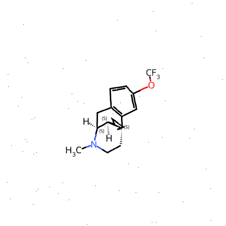 CN1CC[C@@]23CCCC[C@@H]2[C@@H]1Cc1ccc(OC(F)(F)F)cc13